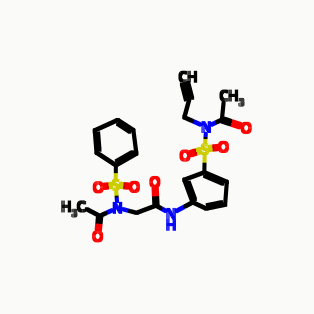 C#CCN(C(C)=O)S(=O)(=O)c1cccc(NC(=O)CN(C(C)=O)S(=O)(=O)c2ccccc2)c1